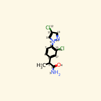 CC(C(N)=O)c1ccc(-n2cc(Cl)cn2)c(Cl)c1